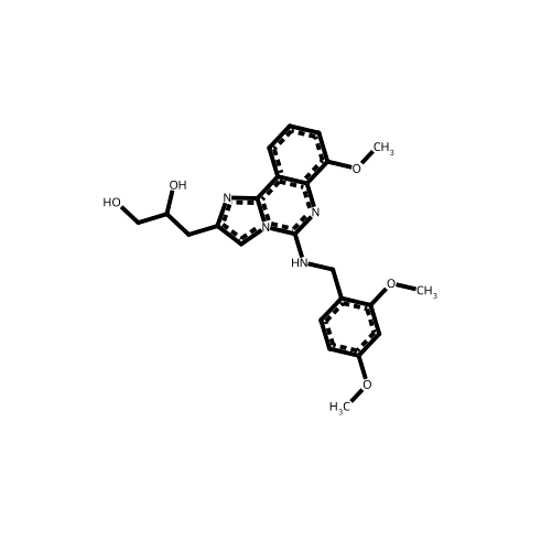 COc1ccc(CNc2nc3c(OC)cccc3c3nc(CC(O)CO)cn23)c(OC)c1